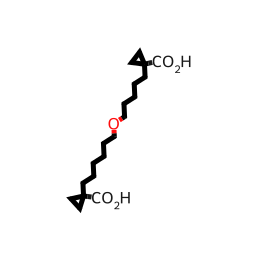 O=C(O)C1(CCCCCCOCCCCCC2(C(=O)O)CC2)CC1